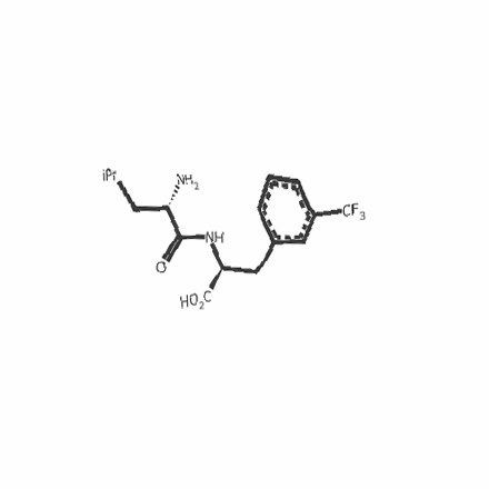 CC(C)C[C@H](N)C(=O)N[C@@H](Cc1cccc(C(F)(F)F)c1)C(=O)O